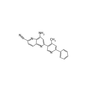 Cc1cc(-c2ccccc2)ncc1-c1cc(N)c2nc(C#N)ccc2n1